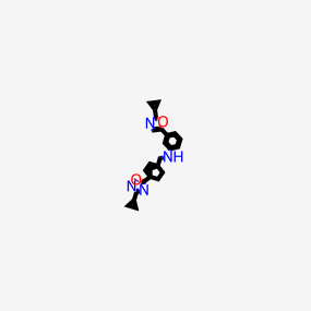 c1cc(NCC23CCC(c4nc(C5CC5)no4)(CC2)C3)cc(-c2cnc(C3CC3)o2)c1